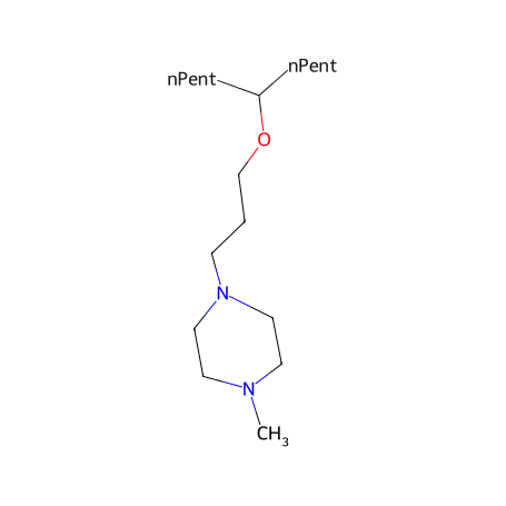 CCCCCC(CCCCC)OCCCN1CCN(C)CC1